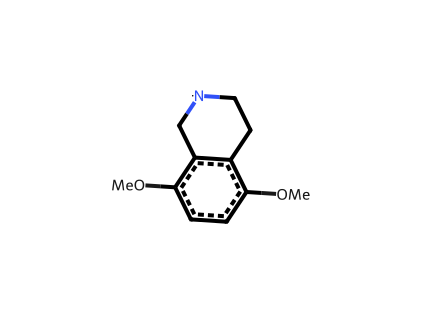 COc1ccc(OC)c2c1CC[N]C2